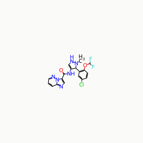 CN1NC=C(NC(=O)c2cnc3cccnn23)C1c1cc(Cl)ccc1OC(F)F